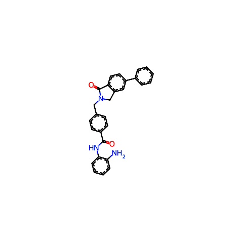 Nc1ccccc1NC(=O)c1ccc(CN2Cc3cc(-c4ccccc4)ccc3C2=O)cc1